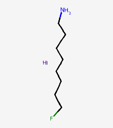 I.NCCCCCCCCF